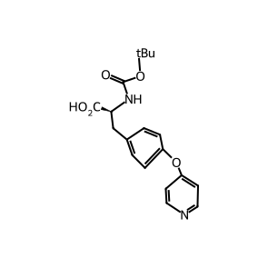 CC(C)(C)OC(=O)N[C@@H](Cc1ccc(Oc2ccncc2)cc1)C(=O)O